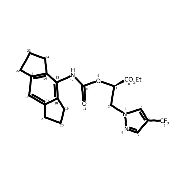 CCOC(=O)[C@@H](Cn1cc(C(F)(F)F)cn1)OC(=O)Nc1c2c(cc3c1CCC3)CCC2